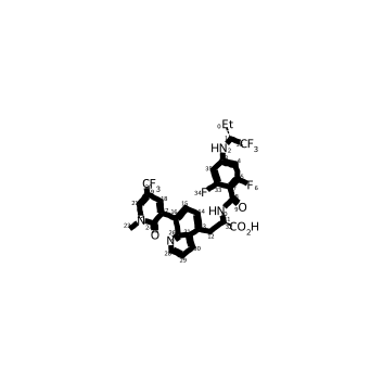 CC[C@@H](Nc1cc(F)c(C(=O)N[C@@H](Cc2ccc(-c3cc(C(F)(F)F)cn(C)c3=O)c3ncccc23)C(=O)O)c(F)c1)C(F)(F)F